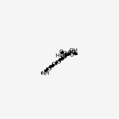 CCOP(=O)(O)OCC(COCCOCCOCCOCCCNC)O[PH](=O)O